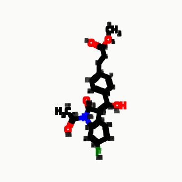 COC(=O)CCc1ccc(C(O)=C2C(=O)N(C(C)=O)c3cc(F)ccc32)cc1